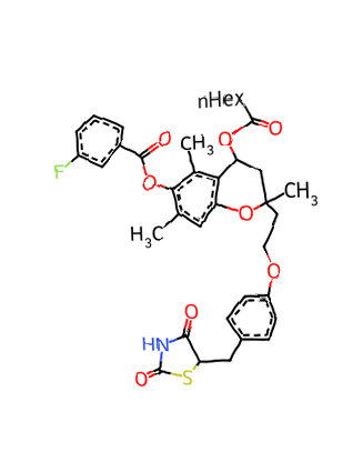 CCCCCCC(=O)OC1CC(C)(CCOc2ccc(CC3SC(=O)NC3=O)cc2)Oc2cc(C)c(OC(=O)c3cccc(F)c3)c(C)c21